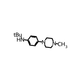 CN1CCN(c2ccc(NC(C)(C)C)cc2)CC1